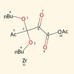 CCCCOC(OCCCC)(C(C)=O)C(=O)C(=O)OC(C)=O.[Zr]